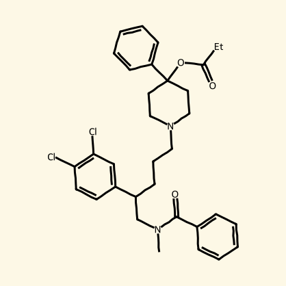 CCC(=O)OC1(c2ccccc2)CCN(CCCC(CN(C)C(=O)c2ccccc2)c2ccc(Cl)c(Cl)c2)CC1